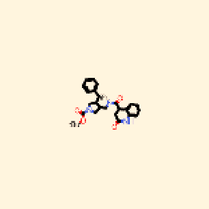 CC(C)N(CC1CN(C(=O)OC(C)(C)C)CC1Cc1ccccc1)C(=O)C1CC(=O)Nc2ccccc21